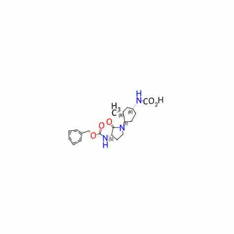 C[C@@H]1C[C@H](NC(=O)O)CC[C@@H]1N1CC[C@H](NC(=O)OCc2ccccc2)C1=O